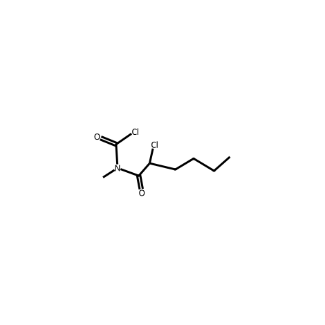 CCCCC(Cl)C(=O)N(C)C(=O)Cl